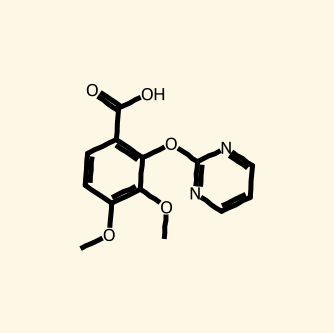 COc1ccc(C(=O)O)c(Oc2ncccn2)c1OC